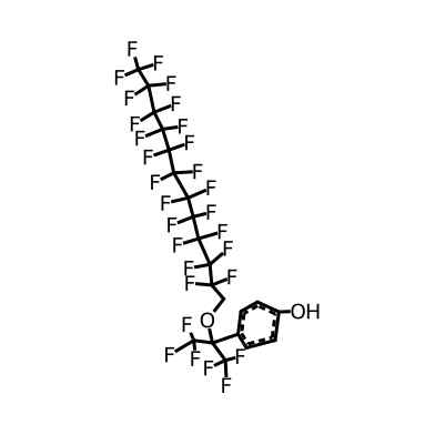 Oc1ccc(C(OCC(F)(F)C(F)(F)C(F)(F)C(F)(F)C(F)(F)C(F)(F)C(F)(F)C(F)(F)C(F)(F)C(F)(F)C(F)(F)F)(C(F)(F)F)C(F)(F)F)cc1